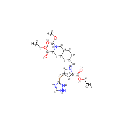 CCOC(=O)C1CC2CC(CN3C[C@H](Sc4nc[nH]n4)C[C@H]3C(=O)OCC)CCC2CN1C(=O)OC